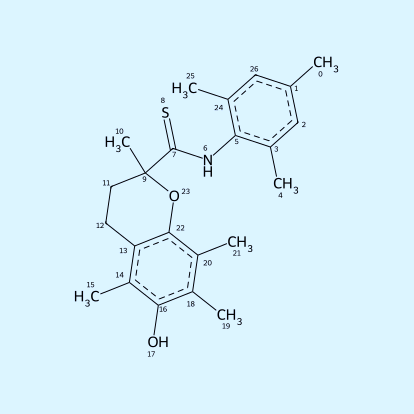 Cc1cc(C)c(NC(=S)C2(C)CCc3c(C)c(O)c(C)c(C)c3O2)c(C)c1